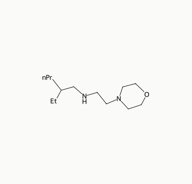 CCCC(CC)CNCCN1CCOCC1